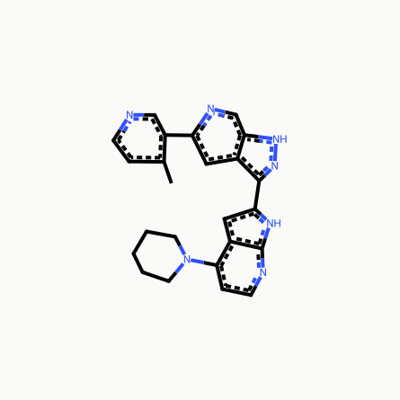 Cc1ccncc1-c1cc2c(-c3cc4c(N5CCCCC5)ccnc4[nH]3)n[nH]c2cn1